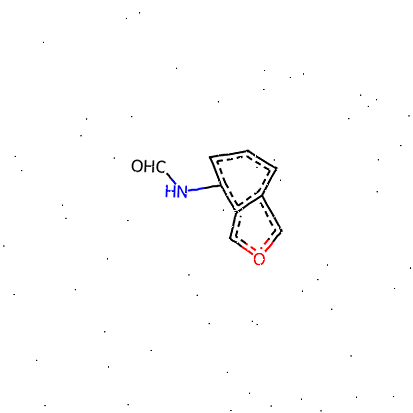 O=CNc1cccc2cocc12